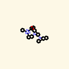 c1ccc(-c2nc(-c3ccccc3)nc(-c3cccc4ccc(-n5c6cc(-n7c8ccccc8c8cc9ccccc9cc87)ccc6c6cc7ccccc7cc65)cc34)n2)cc1